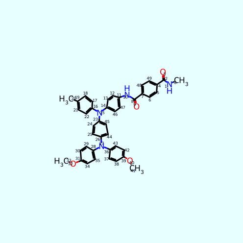 CNC(=O)c1ccc(C(=O)Nc2ccc(N(c3ccc(C)cc3)c3ccc(N(c4ccc(OC)cc4)c4ccc(OC)cc4)cc3)cc2)cc1